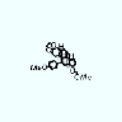 COCO[C@H]1CC[C@H]2[C@@H]3CC[C@H]4CC5(CC[C@]4(C)[C@H]3C(c3ccc(OC)cc3)=C[C@]12C)OCCO5